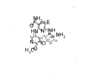 COc1ncc(Nc2nc(N[C@H]3CCCC[C@H]3N)c(F)cc2C(N)=O)cc1Cl